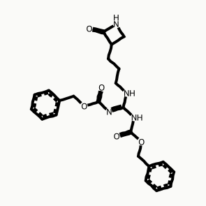 O=C(N=C(NCCCC1CNC1=O)NC(=O)OCc1ccccc1)OCc1ccccc1